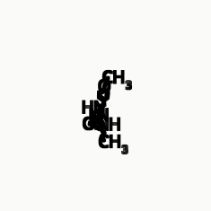 CCCc1cc(=O)n2nc(NCc3ccc(OCC)cc3)nc2[nH]1